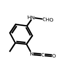 Cc1ccc(NC=O)cc1N=C=O